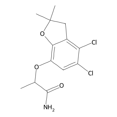 CC(Oc1cc(Cl)c(Cl)c2c1OC(C)(C)C2)C(N)=O